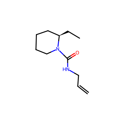 C=CCNC(=O)N1CCCC[C@H]1CC